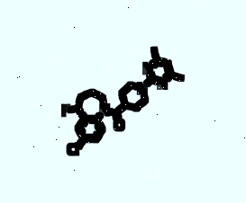 Cc1cc(C)nc(N2CCC(C(=O)N3CCCC(F)c4cc(Cl)ccc43)CC2)n1